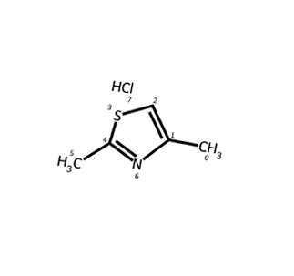 Cc1csc(C)n1.Cl